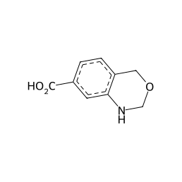 O=C(O)c1ccc2c(c1)NCOC2